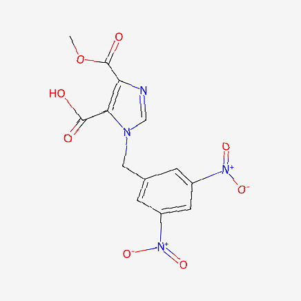 COC(=O)c1ncn(Cc2cc([N+](=O)[O-])cc([N+](=O)[O-])c2)c1C(=O)O